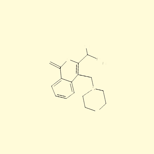 Br.CC(Br)c1oc(=O)c2ccccc2c1CN1CCOCC1